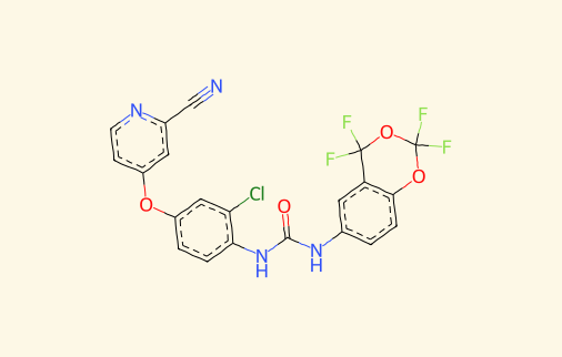 N#Cc1cc(Oc2ccc(NC(=O)Nc3ccc4c(c3)C(F)(F)OC(F)(F)O4)c(Cl)c2)ccn1